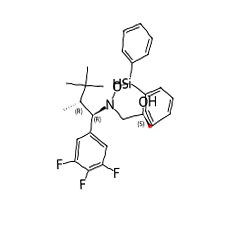 C[C@H](O)CN(O[SiH](c1ccccc1)c1ccccc1)[C@@H](c1cc(F)c(F)c(F)c1)[C@H](C)C(C)(C)C